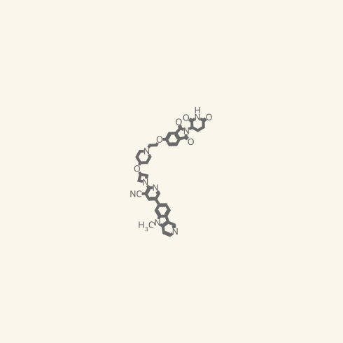 Cn1c2ccncc2c2ccc(-c3cnc(N4CC(OC5CCN(CCOc6ccc7c(c6)C(=O)N(C6CCC(=O)NC6=O)C7=O)CC5)C4)c(C#N)c3)cc21